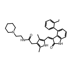 Cc1[nH]c(/C=C2\C(=O)Nc3cccc(-c4ccccc4F)c32)c(C)c1CC(=O)NCCN1CCCCC1